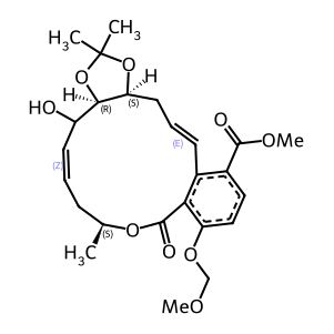 COCOc1ccc(C(=O)OC)c2c1C(=O)O[C@@H](C)C/C=C\C(O)[C@H]1OC(C)(C)O[C@H]1C/C=C/2